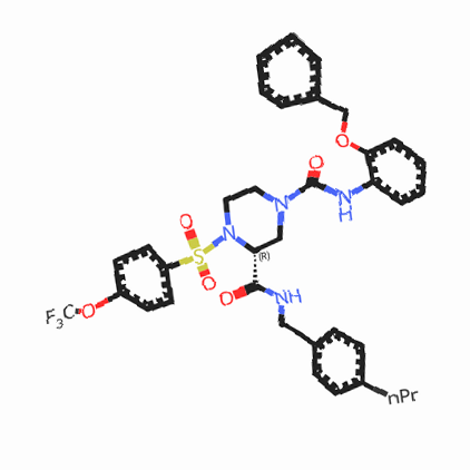 CCCc1ccc(CNC(=O)[C@H]2CN(C(=O)Nc3ccccc3OCc3ccccc3)CCN2S(=O)(=O)c2ccc(OC(F)(F)F)cc2)cc1